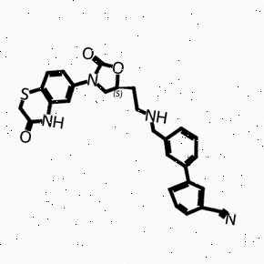 N#Cc1cccc(-c2cccc(CNCC[C@H]3CN(c4ccc5c(c4)NC(=O)CS5)C(=O)O3)c2)c1